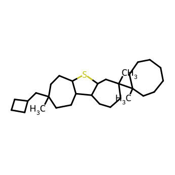 CC1(CC2CCC2)CCC2SC3CC(C)(C4(C)CCCCCCC4)CCCC3C2CC1